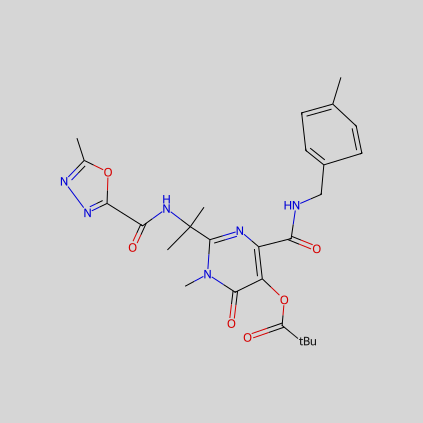 Cc1ccc(CNC(=O)c2nc(C(C)(C)NC(=O)c3nnc(C)o3)n(C)c(=O)c2OC(=O)C(C)(C)C)cc1